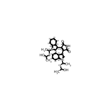 CC(O)SC(C)n1cc(C2=C(c3cn(C(C)SC(C)O)c4ccccc34)C(=O)NC2=O)c2ccccc21